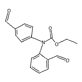 CCOC(=O)N(c1ccc(C=O)cc1)c1ccccc1C=O